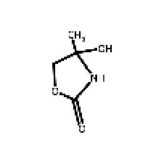 CC1(O)COC(=O)N1